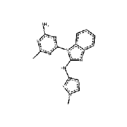 Cc1nc(N)nc(-n2c(Nc3ccn(C)n3)nc3ccccc32)n1